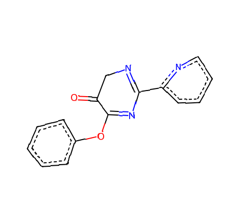 O=C1CN=C(c2ccccn2)N=C1Oc1ccccc1